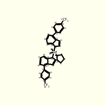 [CH3][Hf]([CH3])(=[C]1CCCC1)([CH]1C=Cc2c(-c3ccc(C(F)(F)F)cc3)cccc21)[CH]1C=Cc2c(-c3ccc(C(F)(F)F)cc3)cccc21